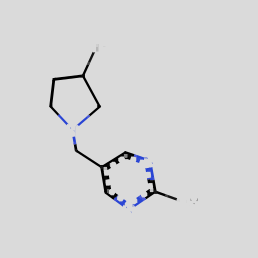 COc1ncc(CN2CCC(C(C)C)C2)cn1